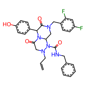 C=CCN1CC(=O)N2C(c3ccc(O)cc3)C(=O)N(Cc3ccc(F)cc3F)CC2N1C(=O)NCc1ccccc1